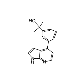 CC(C)(O)c1cccc(-c2ccnc3[nH]ccc23)n1